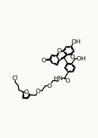 O=C(NCCOCCOCc1ccc(CCCCl)o1)c1ccc(C(=O)O)c(-c2c3ccc(=O)cc-3oc3cc(O)ccc23)c1